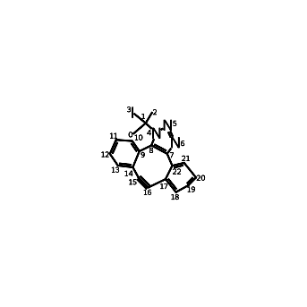 CC(C)(I)n1nnc2c1-c1ccccc1C#Cc1ccccc1-2